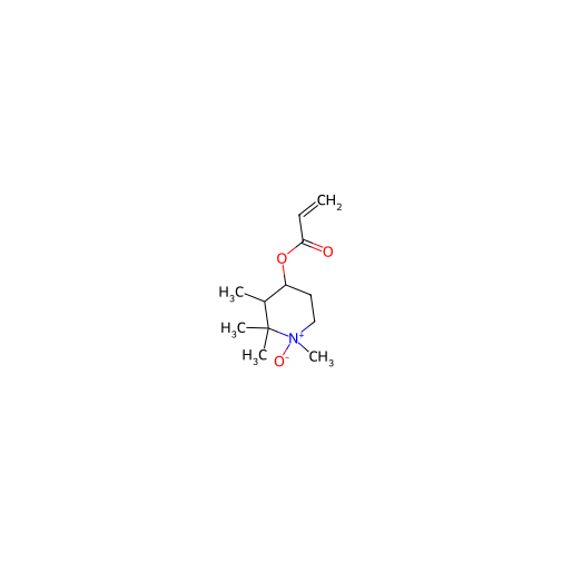 C=CC(=O)OC1CC[N+](C)([O-])C(C)(C)C1C